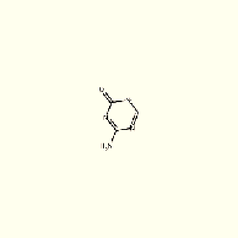 NC1=NC(=O)[N]C=N1